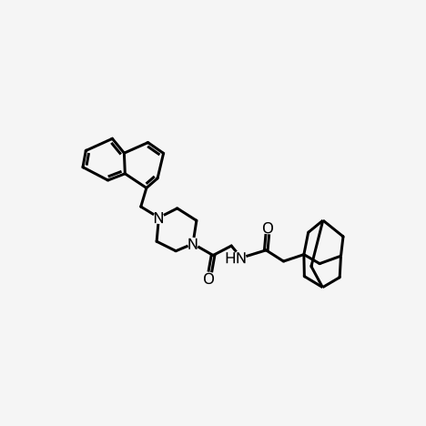 O=C(CC12CC3CC(CC(C3)C1)C2)NCC(=O)N1CCN(Cc2cccc3ccccc23)CC1